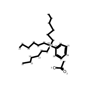 CC(=O)[O-].CCCCCC[P+](CCCCCC)(CCCCCC)c1ccccc1